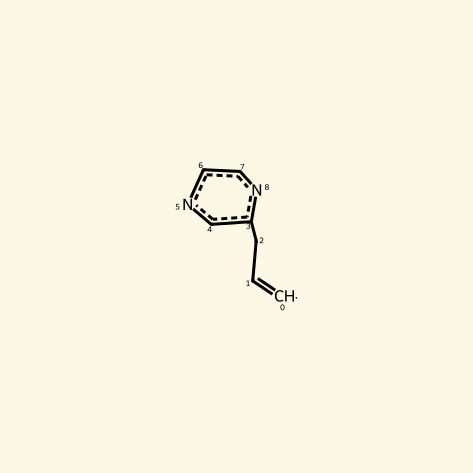 [CH]=CCc1cnccn1